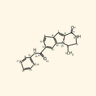 CC1CNC(=O)c2cc3ccc(C(=O)Nc4cnccn4)cc3n21